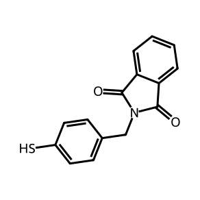 O=C1c2ccccc2C(=O)N1Cc1ccc(S)cc1